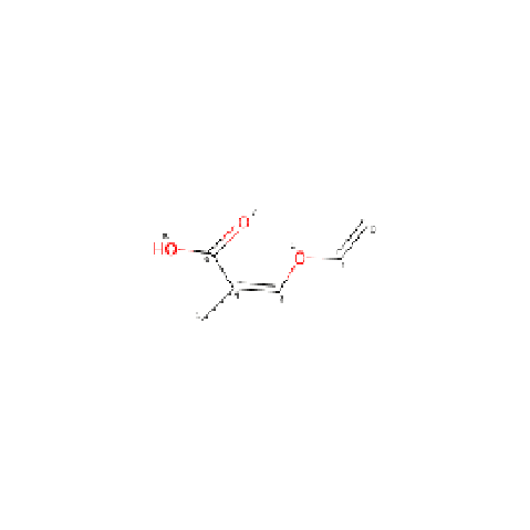 C=COC=C(C)C(=O)O